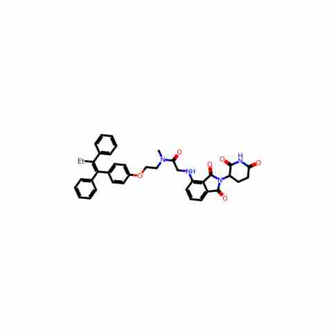 CCC(=C(c1ccccc1)c1ccc(OCCN(C)C(=O)CNc2cccc3c2C(=O)N(C2CCC(=O)NC2=O)C3=O)cc1)c1ccccc1